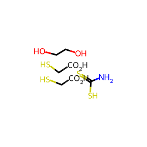 NC(=S)S.O=C(O)CS.O=C(O)CS.OCCO